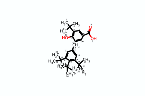 CC(C)(C)c1cc(C(=O)O)ccc1O.Cc1cc(C(C)(C)C)c(C(C)(C)C)c(C(C)(C)C)c1